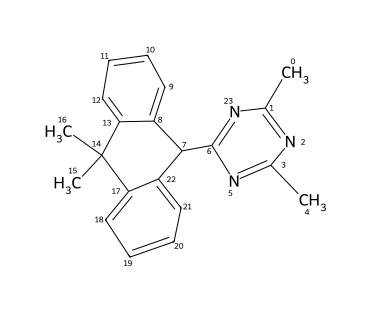 Cc1nc(C)nc(C2c3ccccc3C(C)(C)c3ccccc32)n1